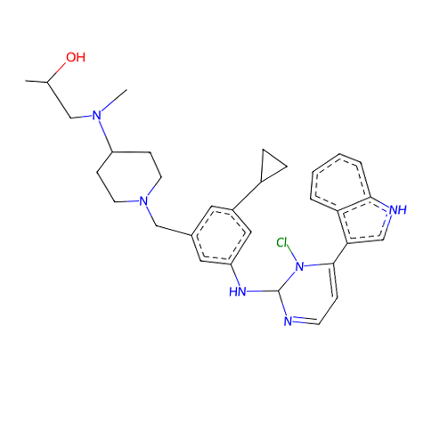 CC(O)CN(C)C1CCN(Cc2cc(NC3N=CC=C(c4c[nH]c5ccccc45)N3Cl)cc(C3CC3)c2)CC1